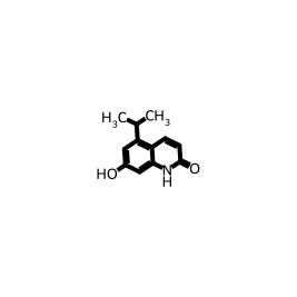 CC(C)c1cc(O)cc2[nH]c(=O)ccc12